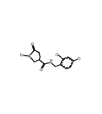 CCN1CC(C(=O)NCc2ccc(Cl)cc2Cl)CC1=O